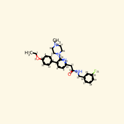 CCOc1ccc(-c2ccc(CC(=O)NCc3cccc(F)c3)nc2N2CCN(C)CC2)cc1